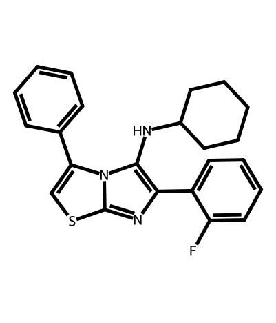 Fc1ccccc1-c1nc2scc(-c3ccccc3)n2c1NC1CCCCC1